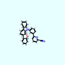 N#Cc1cccc(-c2cccc(-n3c4ccccc4c4ccc5c6ccccc6oc5c43)c2)n1